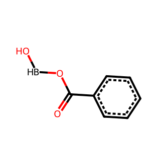 O=C(OBO)c1ccccc1